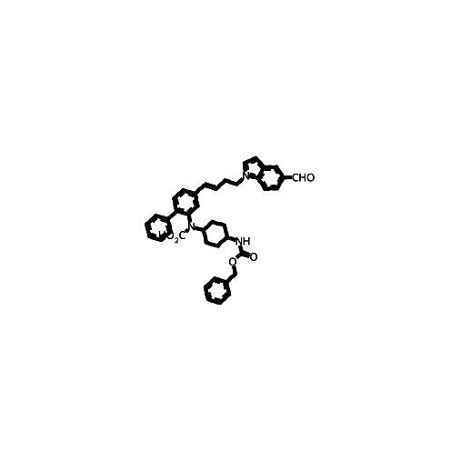 O=Cc1ccc2c(ccn2CCC=Cc2ccc(-c3ccccc3)c(N(C(=O)O)C3CCC(NC(=O)OCc4ccccc4)CC3)c2)c1